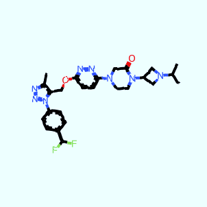 Cc1nnn(-c2ccc(C(F)F)cc2)c1COc1ccc(N2CCN(C3CN(C(C)C)C3)C(=O)C2)nn1